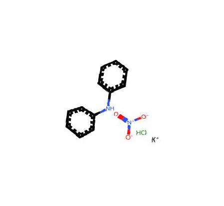 Cl.O=[N+]([O-])[O-].[K+].c1ccc(Nc2ccccc2)cc1